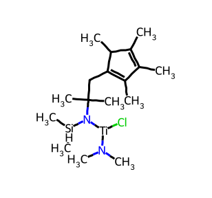 CC1=C(C)C(C)C(CC(C)(C)[N]([SiH](C)C)[Ti]([Cl])[N](C)C)=C1C